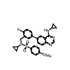 COc1ccc(S(=O)(=O)N(Cc2cc(-c3ccc4ncnc(NC5CC5)c4c3)ccc2F)C2CC2)cc1